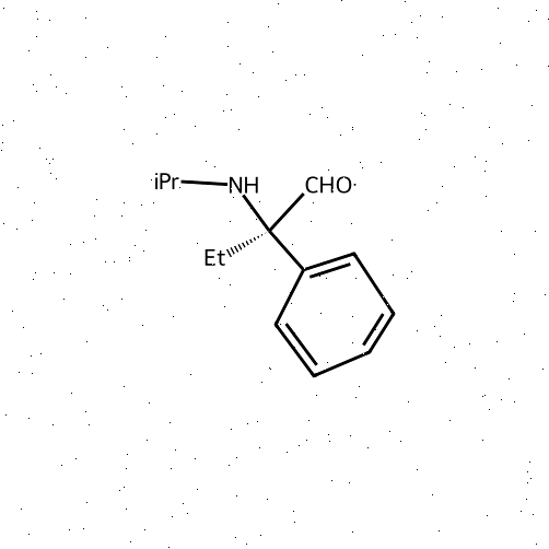 CC[C@@]([C]=O)(NC(C)C)c1ccccc1